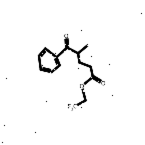 CC(CCC(=O)OCC(F)(F)F)C(=O)c1ccccc1